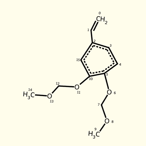 C=Cc1ccc(OCOC)c(OCOC)c1